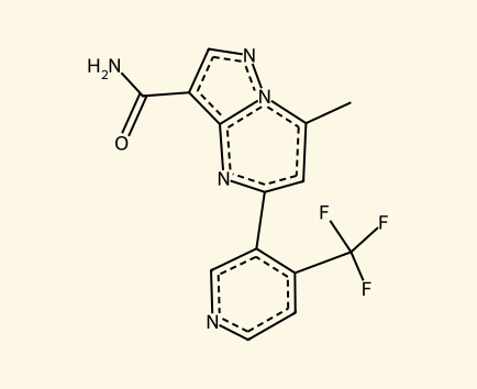 Cc1cc(-c2cnccc2C(F)(F)F)nc2c(C(N)=O)cnn12